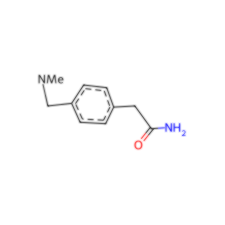 CNCc1ccc(CC(N)=O)cc1